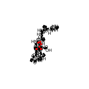 C[C@H](NC(=O)[C@@H]1CCCN1)C(=O)NCC(=O)N1CCC[C@H]1C(=O)N[C@@H](C)C(=O)NCC(=O)N1CCC[C@H]1C(=O)N[C@@H](C)C(=O)NCC(=O)N1CCC[C@H]1C(=O)N[C@@H](C)C(=O)NCC(=O)N1CCC[C@H]1C(=O)N[C@@H](C)C(=O)NCC(=O)N1CCC[C@H]1C(=O)N[C@@H](C)C(=O)NCC(=O)N1CCC[C@H]1C(=O)N[C@@H](C)C(=O)NCC(=O)O